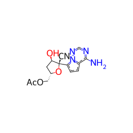 CC(=O)OC[C@@H]1C[C@@H](O)[C@](C#N)(c2ccc3c(N)ncnn23)O1